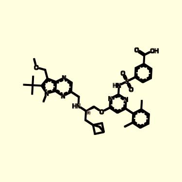 COCc1c(C(C)(C)C)n(C)c2nc(CN[C@@H](COc3cc(-c4c(C)cccc4C)nc(NS(=O)(=O)c4cccc(C(=O)O)c4)n3)CC34CC(C3)C4)cnc12